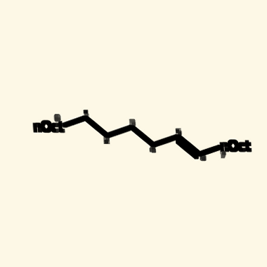 [CH2]CCCCCCCCCCCC=CCCCCCCCC